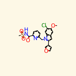 COc1cc2cc(-c3ccoc3)n(Cc3cccc(C(=O)NS(C)(=O)=O)n3)c2cc1Cl